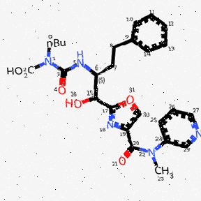 CCCCN(C(=O)O)C(=O)N[C@@H](CCc1ccccc1)C(O)c1nc(C(=O)N(C)c2cccnc2)co1